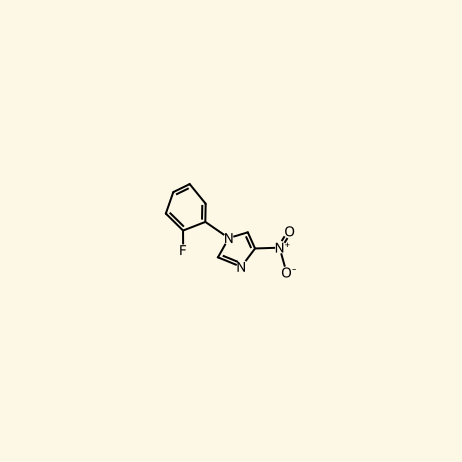 O=[N+]([O-])c1cn(-c2ccccc2F)cn1